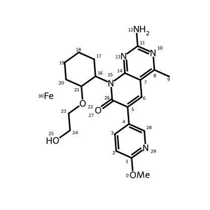 COc1ccc(-c2cc3c(C)nc(N)nc3n(C3CCCCC3OCCO)c2=O)cn1.[Fe]